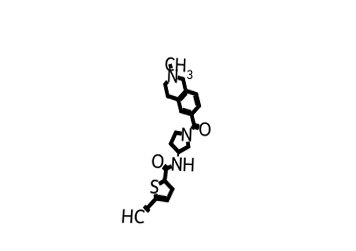 C#CC1=CCC(C(=O)N[C@@H]2CCN(C(=O)c3ccc4c(c3)CCN(C)C4)C2)S1